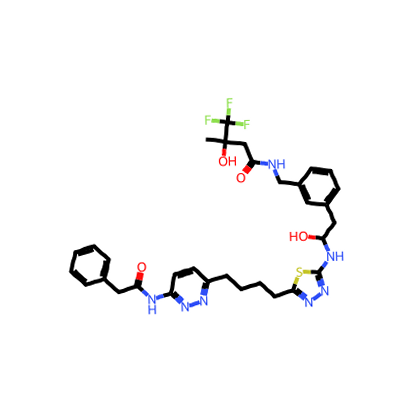 CC(O)(CC(=O)NCc1cccc(CC(O)Nc2nnc(CCCCc3ccc(NC(=O)Cc4ccccc4)nn3)s2)c1)C(F)(F)F